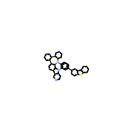 c1ccc(N2c3ccccc3-c3ccccc3-c3ccc4c5cnccc5n(-c5cccc(-c6ccc7sc8ccccc8c7c6)c5)c4c32)cc1